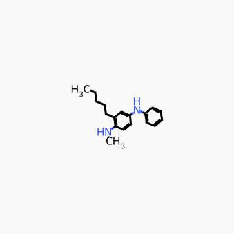 CCCCCc1cc(Nc2ccccc2)ccc1NC